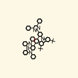 CC(C)(C)c1ccc2c(c1)c1cc(C(C)(C)C)ccc1n2-c1ccc(-c2nc(-c3ccccc3)cc(-c3ccccc3)n2)cc1-c1ccc(-c2ccc3c4c2N(c2ccccc2)c2ccccc2B4c2ccccc2N3c2ccccc2)cc1